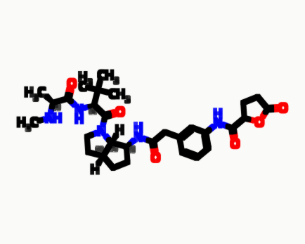 CN[C@@H](C)C(=O)N[C@H](C(=O)N1CC[C@H]2CC[C@H](NC(=O)Cc3cccc(NC(=O)C4CCC(=O)O4)c3)[C@H]21)C(C)(C)C